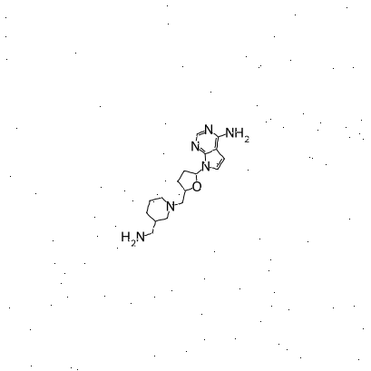 NCC1CCCN(CC2CCC(n3ccc4c(N)ncnc43)O2)C1